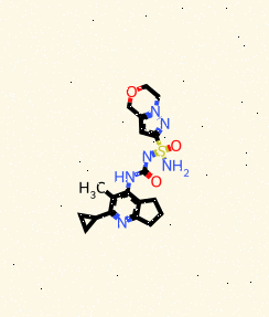 Cc1c(C2CC2)nc2c(c1NC(=O)N=S(N)(=O)c1cc3n(n1)CCOC3)CCC2